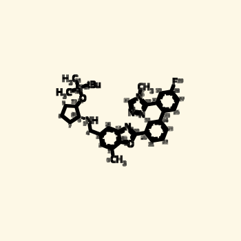 Cc1cc(CN[C@@H]2CCCC2O[Si](C)(C)C(C)(C)C)cc2nc(-c3cccc(-c4ccc(F)cc4-c4nncn4C)c3)oc12